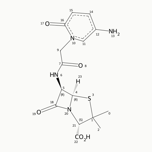 CC1(C)S[C@@H]2[C@H](NC(=O)Cn3cc(N)ccc3=O)C(=O)N2[C@H]1C(=O)O